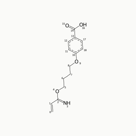 C=CC(=N)OCCCCOc1ccc(C(=O)O)cc1